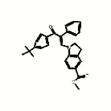 COC(=O)c1ccc2c(c1)CCN2/C=C(/C(=O)c1ccc(C(C)(C)C)cc1)c1ccccc1